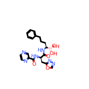 O=C(N[C@H](Cc1nnco1)C(=O)N[C@@H](CCCc1ccccc1)B(O)O)c1cnccn1